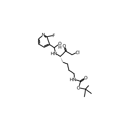 CC(C)(C)OC(=O)NCCCC[C@H](NC(O)c1cccnc1F)C(=O)CCl